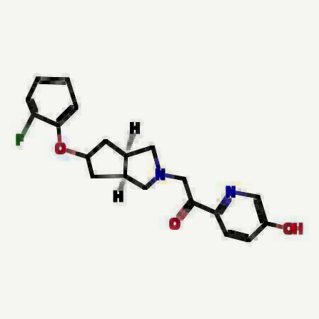 O=C(CN1C[C@H]2CC(Oc3ccccc3F)C[C@H]2C1)c1ccc(O)cn1